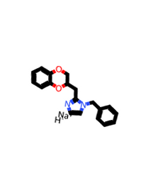 [H-].[Na+].c1ccc(Cn2ccnc2CC2COc3ccccc3O2)cc1